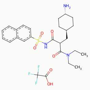 CCN(CC)C(=O)C(C[C@H]1CC[C@H](N)CC1)C(=O)NS(=O)(=O)c1ccc2ccccc2c1.O=C(O)C(F)(F)F